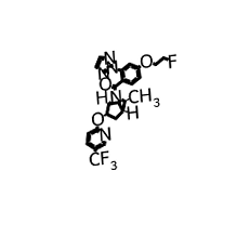 C[C@@H]1[C@H]2C[C@@H](Oc3ccc(C(F)(F)F)cn3)[C@H](C2)N1C(=O)c1ccc(OCCF)cc1-n1nccn1